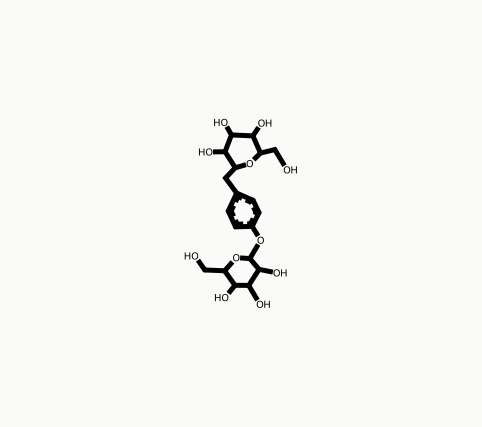 OCC1OC(Cc2ccc(OC3OC(CO)C(O)C(O)C3O)cc2)C(O)C(O)C1O